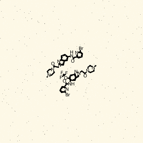 CN1CCN(C(=O)Cn2cc3cc(NC(=O)c4cccc(Br)n4)c(OC(F)(F)F)cc3n2)CC1.CN1CCN(C(=O)Cn2cc3cc(NC(=O)c4cccc(Br)n4)ccc3n2)CC1